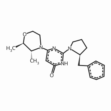 C[C@@H]1[C@@H](C)OCCN1c1cc(=O)[nH]c(N2CCC[C@H]2Cc2ccccc2)n1